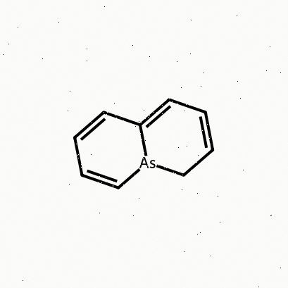 C1=CC[As]2C=CC=CC2=C1